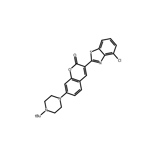 CC(C)(C)N1CCN(c2ccc3cc(-c4nc5c(Cl)cccc5s4)c(=O)oc3c2)CC1